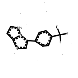 FC(F)(F)c1ccc(-c2cnc3cc[nH]n23)cc1